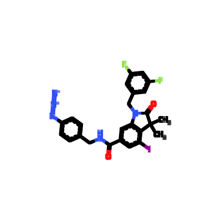 CC1(C)C(=O)N(Cc2cc(F)cc(F)c2)c2cc(C(=O)NCc3ccc(N=[N+]=[N-])cc3)cc(I)c21